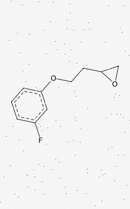 Fc1cccc(OCCC2CO2)c1